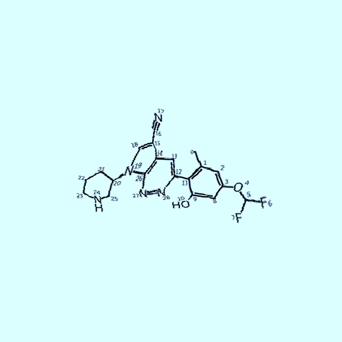 Cc1cc(OC(F)F)cc(O)c1-c1cc2c(C#N)cn([C@@H]3CCCNC3)c2nn1